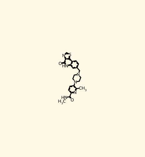 CNC(=O)c1ccc(N2CCN(Cc3ccc4c(c3)[nH]c(=O)c3ncsc34)CC2)c(C)n1